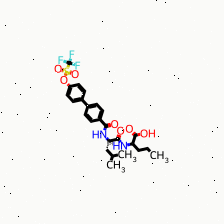 CCCC(NC(=O)[C@H](CC(C)C)NC(=O)c1ccc(-c2ccc(OS(=O)(=O)C(F)(F)F)cc2)cc1)C(=O)O